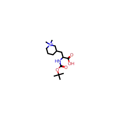 CC(C)(C)OC(=O)NC(CC1CCC[N+](C)(C)C1)C(=O)O